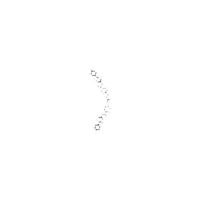 O=C(CCC1CCC(C(F)Cc2cnc(-c3ccc(F)cc3)nc2)CC1)CC[C@H]1CC[C@H](C(F)Cc2cnc(-c3ccc(F)cc3)nc2)CC1